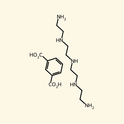 NCCNCCNCCNCCN.O=C(O)c1cccc(C(=O)O)c1